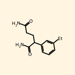 CCc1cccc(C(CCC(N)=O)C(N)=O)c1